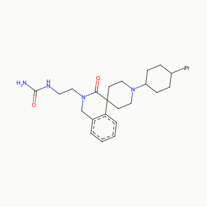 CC(C)C1CCC(N2CCC3(CC2)C(=O)N(CCNC(N)=O)Cc2ccccc23)CC1